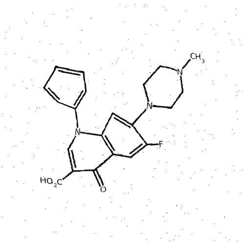 CN1CCN(c2cc3c(cc2F)c(=O)c(C(=O)O)cn3-c2ccccc2)CC1